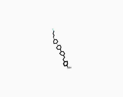 CCCCc1ccc(CCC2CCC(C3CCC([C@H]4CC[C@H](CCCCF)CC4)CC3)CC2)cc1